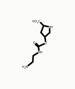 NCCNC(=O)OC1CNC(C(=O)O)C1